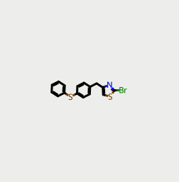 Brc1nc(Cc2ccc(Sc3ccccc3)cc2)cs1